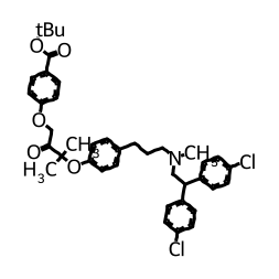 CN(CCCc1ccc(OC(C)(C)C(=O)COc2ccc(C(=O)OC(C)(C)C)cc2)cc1)CC(c1ccc(Cl)cc1)c1ccc(Cl)cc1